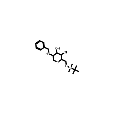 CC(C)(C)[Si](C)(C)OCC1OCC(NCc2ccccc2)C(O)C1O